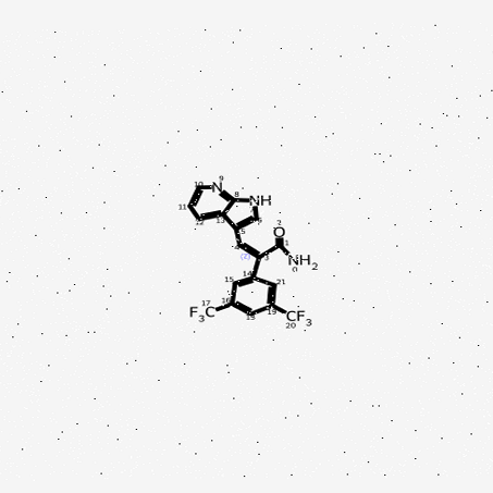 NC(=O)/C(=C\c1c[nH]c2ncccc12)c1cc(C(F)(F)F)cc(C(F)(F)F)c1